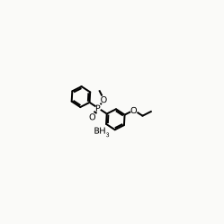 B.CCOc1cccc(P(=O)(OC)c2ccccc2)c1